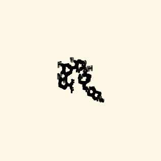 CN1CC2CN(Cc3ccc(Nc4ncc(F)c(-c5cc(F)c6nc7n(c6c5)C(C(F)F)CC7)n4)nc3)CC2C1